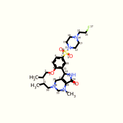 CCCOc1ccc(S(=O)(=O)N2CCN(CCF)CC2)cc1C1NC(=O)C2=C1CN(CCC)CN2C